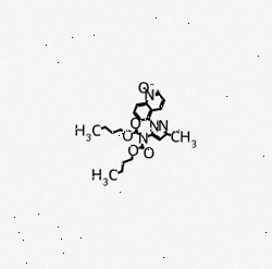 CCCCOC(=O)N(C(=O)OCCCC)c1cc(C)nn1-c1cccc2c1ccc[n+]2[O-]